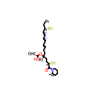 CC[C@@](CC/C=C/C=C/C=C/[C@@H](S)CC(C)C)(CC[C@@H](S)C(=O)N1CCCC[C@H]1C)O[C@@H](O)C=O